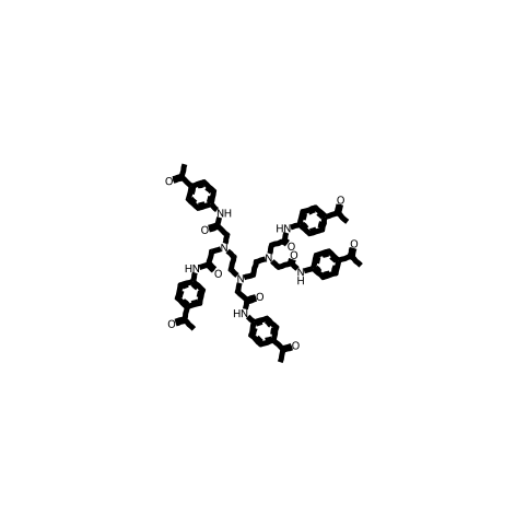 CC(=O)c1ccc(NC(=O)CN(CCN(CC(=O)Nc2ccc(C(C)=O)cc2)CC(=O)Nc2ccc(C(C)=O)cc2)CCN(CC(=O)Nc2ccc(C(C)=O)cc2)CC(=O)Nc2ccc(C(C)=O)cc2)cc1